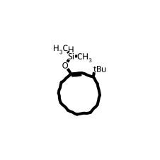 C[SiH](C)OC1=CC(C(C)(C)C)CCCCCCCCC1